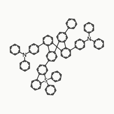 c1ccc(-c2ccc3c(c2)-c2c(-c4ccc(N(c5ccccc5)c5ccccc5)cc4)cccc2C32c3ccc(-c4ccc5c(c4)S(c4ccccc4)(c4ccccc4)c4ccccc4-5)cc3-c3c(-c4ccc(N(c5ccccc5)c5ccccc5)cc4)cccc32)cc1